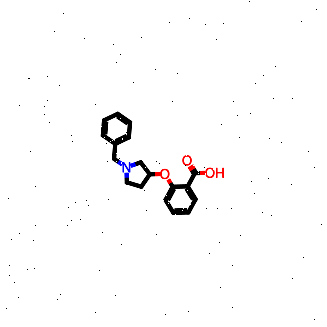 O=C(O)c1ccccc1OC1CCN(Cc2ccccc2)C1